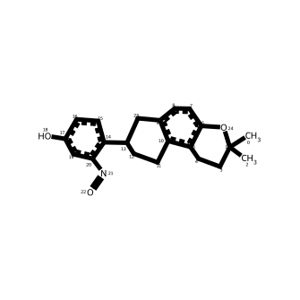 CC1(C)CCc2c(ccc3c2CCC(c2ccc(O)cc2N=O)C3)O1